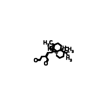 CC1(C)CCC[C@@]23CO[C@](C)(CC[C@@H]12)[C@@H]3CC=C(C=O)CC=O